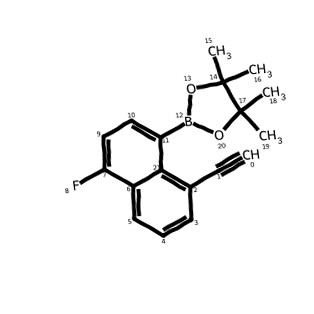 C#Cc1cccc2c(F)ccc(B3OC(C)(C)C(C)(C)O3)c12